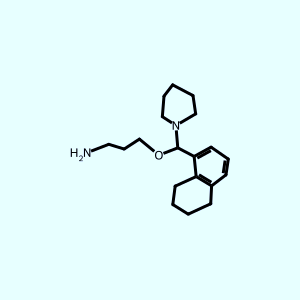 NCCCOC(c1cccc2c1CCCC2)N1CCCCC1